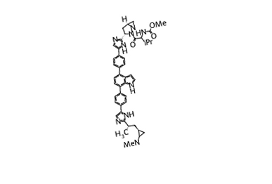 CNC1C[C@@H]1C[C@H](C)c1ncc(-c2ccc(-c3ccc(-c4ccc(-c5cnc([C@@H]6C[C@H]7CN7N6C(=O)C(NC(=O)OC)C(C)C)[nH]5)cc4)c4cc[nH]c34)cc2)[nH]1